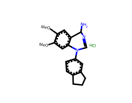 COc1cc2c(cc1OC)N(c1ccc3c(c1)CCC3)C=NC2N.Cl